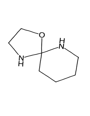 C1CCC2(NC1)NCCO2